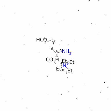 CC[N+](CC)(CC)CC.N[C@@H](CCC(=O)O)C(=O)O